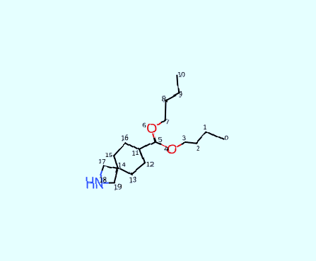 CCCCOC(OCCCC)C1CCC2(CC1)CNC2